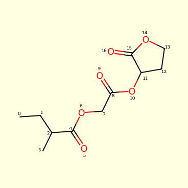 CCC(C)C(=O)OCC(=O)OC1CCOC1=O